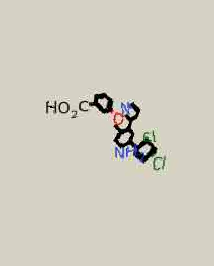 NC1CC(COc2cccc(C(=O)O)c2)=C(c2cccnc2)CC1c1ccc(Cl)cc1Cl